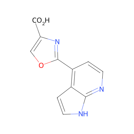 O=C(O)c1coc(-c2ccnc3[nH]ccc23)n1